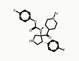 CC(=O)N1CCC(C(=O)[C@@]2(N(C)C(=O)Oc3ccc(F)cc3)CNC[C@H]2c2ccc(F)cc2)CC1